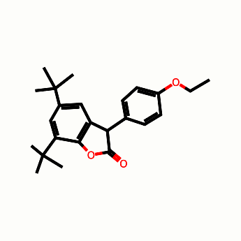 CCOc1ccc(C2C(=O)Oc3c2cc(C(C)(C)C)cc3C(C)(C)C)cc1